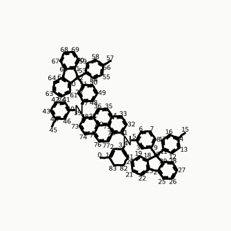 CC1=CC(N(c2cccc(C3(c4ccc(C)cc4)c4ccccc4-c4ccccc43)c2)c2ccc3ccc4c(N(c5cccc(C)c5)c5cccc(C6(c7ccc(C)cc7)c7ccccc7-c7ccccc76)c5)ccc5ccc2c3c54)=CCC1